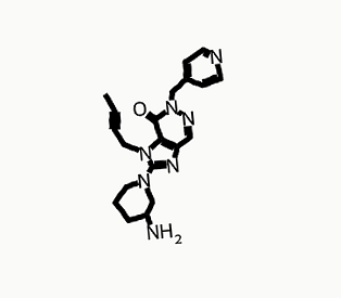 CC#CCn1c(N2CCCC(N)C2)nc2cnn(Cc3ccncc3)c(=O)c21